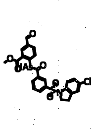 COC(=O)c1cc(C=O)ccc1[AsH]C(=O)c1cccc(S(=O)(=O)N2CCc3cc(Cl)ccc32)c1